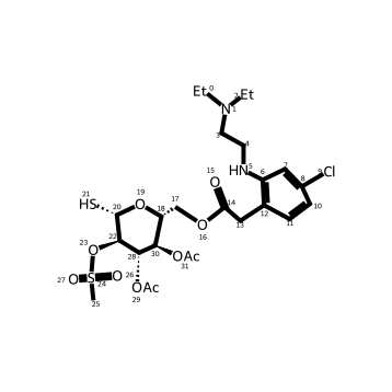 CCN(CC)CCNc1cc(Cl)ccc1CC(=O)OC[C@H]1O[C@@H](S)[C@H](OS(C)(=O)=O)[C@@H](OC(C)=O)[C@@H]1OC(C)=O